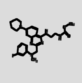 CN(Cc1nc(NCCNC(=O)OC(C)(C)C)c2ccc(N3CCCCC3)cc2n1)c1cccc(F)c1